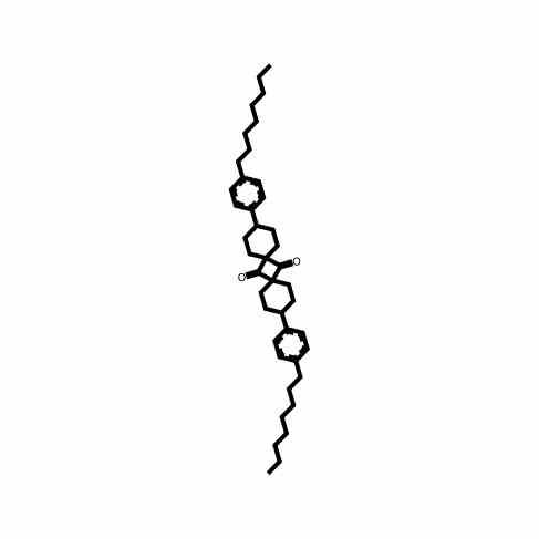 CCCCCCCCc1ccc(C2CCC3(CC2)C(=O)C2(CCC(c4ccc(CCCCCCCC)cc4)CC2)C3=O)cc1